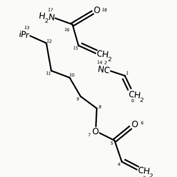 C=CC#N.C=CC(=O)OCCCCCC(C)C.C=CC(N)=O